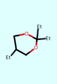 CCC1COC(CC)(CC)OC1